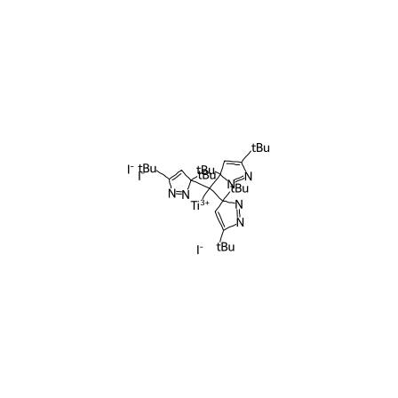 CC(C)(C)C1=CC(C(C)(C)C)([C]([Ti+3])(C2(C(C)(C)C)C=C(C(C)(C)C)N=N2)C2(C(C)(C)C)C=C(C(C)(C)C)N=N2)N=N1.[I-].[I-].[I-]